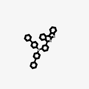 c1ccc(-c2ccc(N(c3ccc(-c4ccccc4)cc3)c3cccc(-c4nc5sc6ccccc6c5c5ccccc45)c3)cc2)cc1